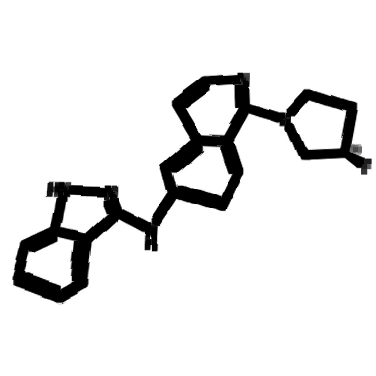 F[C@@H]1CCN(c2nccc3cc(Nc4n[nH]c5ccccc45)ccc23)C1